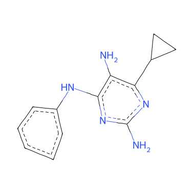 Nc1nc(Nc2ccccc2)c(N)c(C2CC2)n1